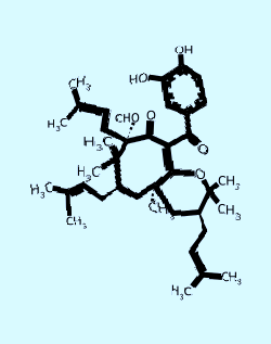 CC(C)=CC[C@H]1C[C@@]2(C)C[C@@H](CC=C(C)C)C(C)(C)[C@@](C=O)(CC=C(C)C)C(=O)/C(C(=O)c3ccc(O)c(O)c3)=C\2OC1(C)C